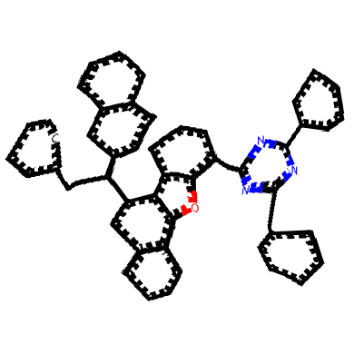 c1ccc(CC(c2ccc3ccccc3c2)c2cc3ccccc3c3oc4c(-c5nc(-c6ccccc6)nc(-c6ccccc6)n5)cccc4c23)cc1